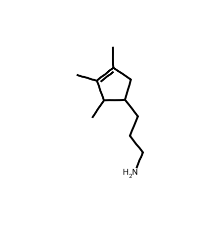 CC1=C(C)C(C)C(CCCN)C1